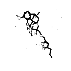 CCCc1cc(COC[C@H]2C[C@@]34CC[C@]2(OC)[C@@H]2Oc5c(OC)ccc6c5[C@@]23CCN(C)C4C6)on1